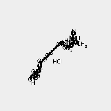 C[C@@H](NC(=O)c1cccc(NC2(c3nnc(-c4ccncc4)[nH]3)CCN(C)CC2)c1)c1cccc(OCCCCCCOCCOCCOCCC(=O)N2CCN(c3cc4c(cc3F)C(=O)N(C3CCC(=O)NC3=O)C4=O)CC2)c1.Cl